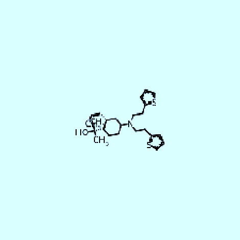 C/C=C\[C@@H]1CC(N(CCc2cccs2)CCc2cccs2)CC[C@@H]1C(C)(C)O